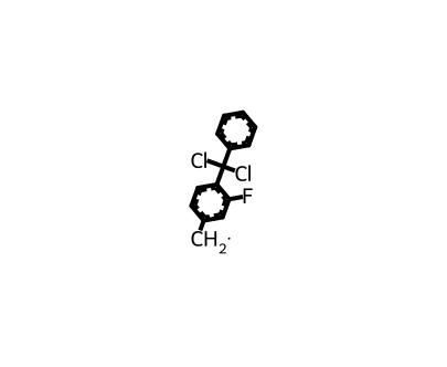 [CH2]c1ccc(C(Cl)(Cl)c2ccccc2)c(F)c1